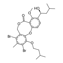 COc1c([C@@H](O)CC(C)C)ccc2c1C(=O)OCc1c(Br)c(C)c(Br)c(OCCC(C)C)c1O2